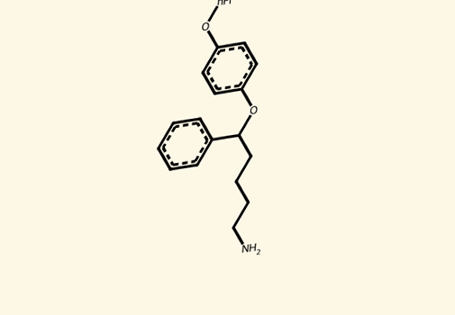 CCCOc1ccc(OC(CCCCN)c2ccccc2)cc1